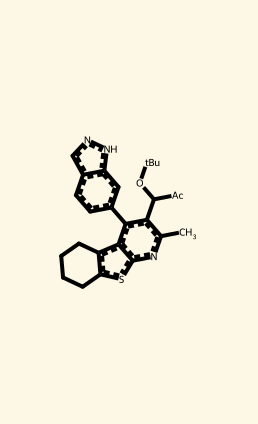 CC(=O)C(OC(C)(C)C)c1c(C)nc2sc3c(c2c1-c1ccc2cn[nH]c2c1)CCCC3